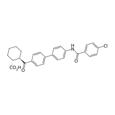 O=C(Nc1ccc(-c2ccc(C(=O)[C@@H]3CCCC[C@H]3C(=O)O)cc2)cc1)c1ccc(Cl)cc1